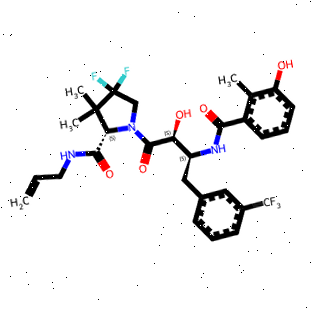 C=CCNC(=O)[C@H]1N(C(=O)[C@@H](O)[C@H](Cc2cccc(C(F)(F)F)c2)NC(=O)c2cccc(O)c2C)CC(F)(F)C1(C)C